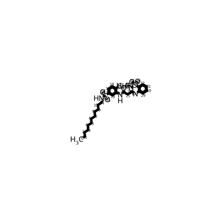 CCCCCCCCCCCCNS(=O)(=O)c1ccc(C)c(NC(=O)CC2=Nc3ccccc3S(=O)(=O)N2C)c1